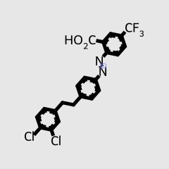 O=C(O)c1cc(C(F)(F)F)ccc1/N=N/c1ccc(CCc2ccc(Cl)c(Cl)c2)cc1